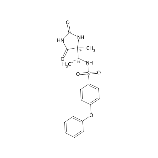 C[C@@H](NS(=O)(=O)c1ccc(Oc2ccccc2)cc1)[C@]1(C)NC(=O)NC1=O